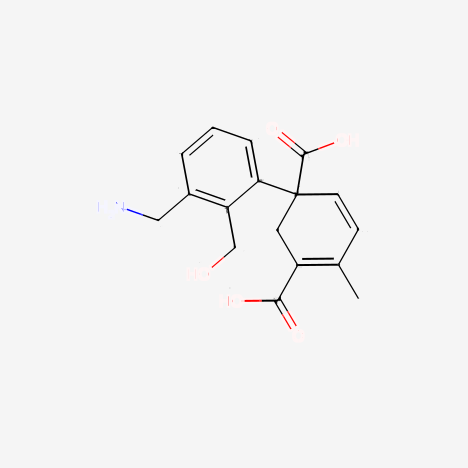 CC1=C(C(=O)O)CC(C(=O)O)(c2cccc(CN)c2CO)C=C1